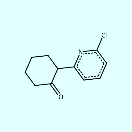 O=C1CCCCC1c1cccc(Cl)n1